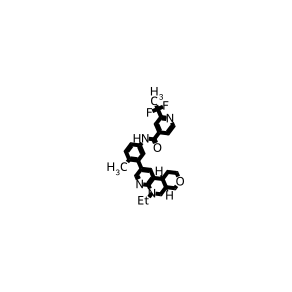 CCN1C[C@@H]2COCC[C@H]2c2cc(-c3cc(NC(=O)c4ccnc(C(C)(F)F)c4)ccc3C)cnc21